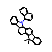 CC1(C)c2ccccc2-c2ccc3c(ccc4c5ccccc5n(-c5cccc6ccccc56)c34)c21